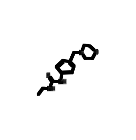 CCNC(=S)Nc1ccc(CN2CCOCC2)cc1